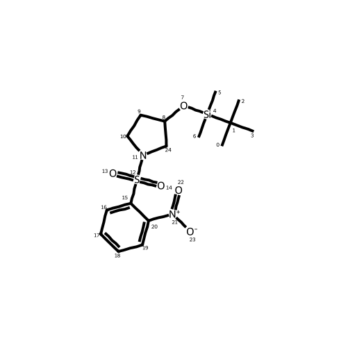 CC(C)(C)[Si](C)(C)OC1CCN(S(=O)(=O)c2ccccc2[N+](=O)[O-])C1